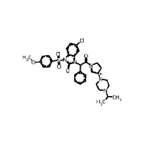 COc1ccc(S(=O)(=O)n2c(=O)n(C(C(=O)N3CC[C@@H](N4CCN(C(C)C)CC4)C3)c3ccccc3)c3cc(Cl)ccc32)cc1